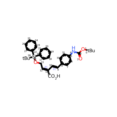 CC(C)(C)OC(=O)Nc1ccc(/C=C/C(=C\CO[Si](c2ccccc2)(c2ccccc2)C(C)(C)C)C(=O)O)cc1